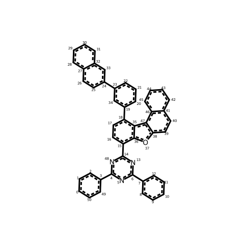 c1ccc(-c2nc(-c3ccccc3)nc(-c3ccc(-c4cccc(-c5ccc6ccccc6c5)c4)c4c3oc3ccc5ccccc5c34)n2)cc1